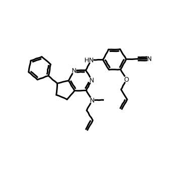 C=CCOc1cc(Nc2nc3c(c(N(C)CC=C)n2)CCC3c2ccccc2)ccc1C#N